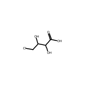 O=C(O)C(O)C(O)CCl